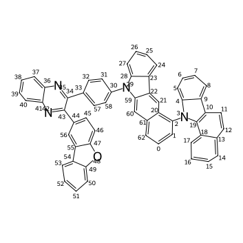 c1cc(-n2c3ccccc3c3ccc4ccccc4c32)c2cc3c4ccccc4n(-c4ccc(-c5nc6ccccc6nc5-c5ccc6oc7ccccc7c6c5)cc4)c3cc2c1